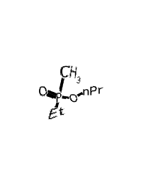 CCCOP(C)(=O)CC